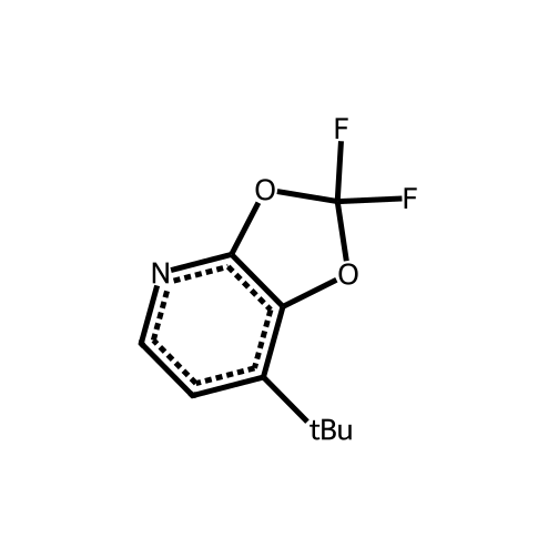 CC(C)(C)c1ccnc2c1OC(F)(F)O2